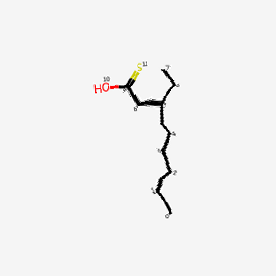 CCCCCC(CC)CC(O)=S